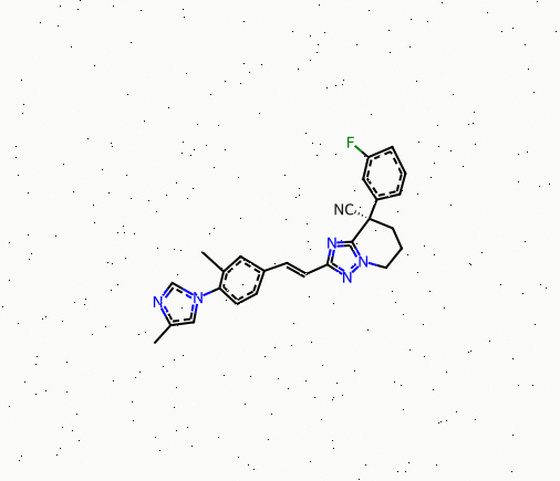 Cc1cn(-c2ccc(/C=C/c3nc4n(n3)CCC[C@]4(C#N)c3cccc(F)c3)cc2C)cn1